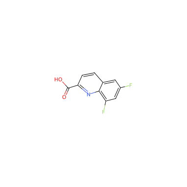 O=C(O)c1ccc2cc(F)cc(F)c2n1